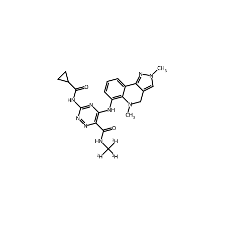 [2H]C([2H])([2H])NC(=O)c1nnc(NC(=O)C2CC2)nc1Nc1cccc2c1N(C)Cc1cn(C)nc1-2